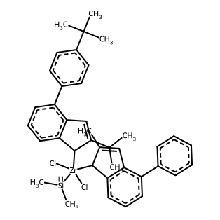 CC1=Cc2c(-c3ccccc3)cccc2[CH]1[Zr]([Cl])([Cl])([CH]1C(C(C)C)=Cc2c(-c3ccc(C(C)(C)C)cc3)cccc21)[SiH](C)C